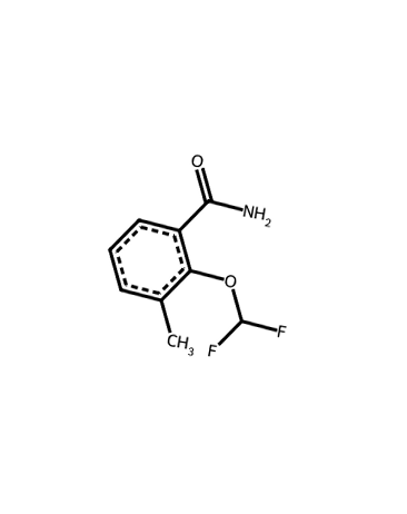 Cc1cccc(C(N)=O)c1OC(F)F